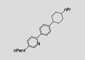 CCCCCc1ccc(-c2ccc(C3CCC(CCC)CC3)cc2)nc1